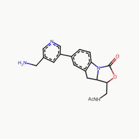 CC(=O)NCC1OC(=O)N2c3ccc(-c4cncc(CN)c4)cc3CC12